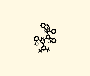 COc1ccccc1-c1cc(-c2cc(C(C)(C)C)cc(C(C)(C)C)c2)cc(-c2cc(-c3nc4c5ccccc5ccn4c3-c3ccccc3)cc3c2oc2ccccc23)n1